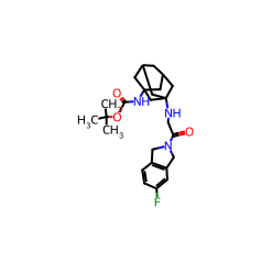 CC(C)(C)OC(=O)NC12CC3CC(CC(NCC(=O)N4Cc5ccc(F)cc5C4)(C3)C1)C2